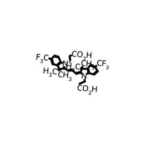 CC1(C)C(/C=C/C=C2/N(CCC(=O)O)c3ccc(C(F)(F)F)cc3C2(C)C)=[N+](CCC(=O)O)c2ccc(C(F)(F)F)cc21